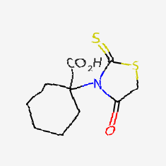 O=C1CSC(=S)N1C1(C(=O)O)CCCCC1